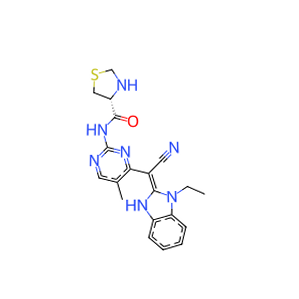 CCN1/C(=C(\C#N)c2nc(NC(=O)[C@@H]3CSCN3)ncc2C)Nc2ccccc21